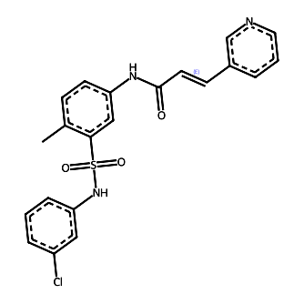 Cc1ccc(NC(=O)/C=C/c2cccnc2)cc1S(=O)(=O)Nc1cccc(Cl)c1